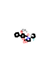 COc1cc(C(=O)N2[C@@H](c3ccccc3F)CC[C@H]2C(=O)O)ccc1-c1ccccc1